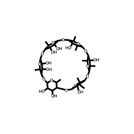 CC1OC2OC3C(C)OC(OC4C(C)OC(OC5C(C)OC(OC6C(C)OC(OC7C(C)OC(OC1C(C)C2O)C(C)C7O)C(C)C6O)C(O)C5O)C(O)C4O)C(O)C3O